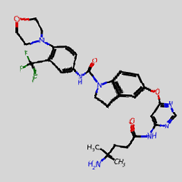 CC(C)(N)CCC(=O)Nc1cc(Oc2ccc3c(c2)CCN3C(=O)Nc2ccc(N3CCOCC3)c(C(F)(F)F)c2)ncn1